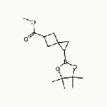 COC(=O)C1CC2(C1)CC2B1OC(C)(C)C(C)(C)O1